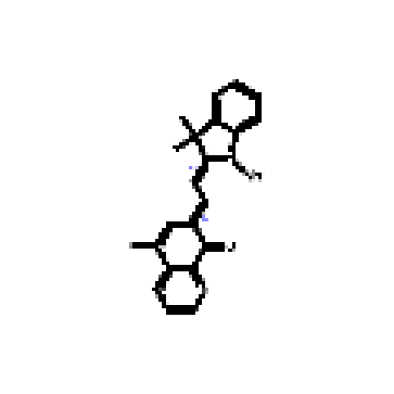 CCCN1/C(=C\C=C2/C=C(C)c3cccnc3C2=O)C(C)(C)c2ccccc21